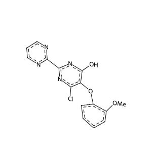 COc1ccccc1Oc1c(O)nc(-c2ncccn2)nc1Cl